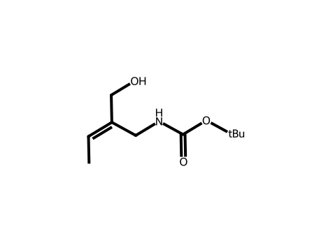 C/C=C(/CO)CNC(=O)OC(C)(C)C